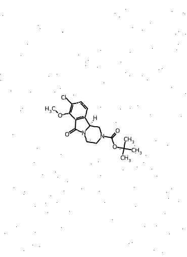 COc1c(Cl)ccc2c1C(=O)N1CCN(C(=O)OC(C)(C)C)C[C@H]21